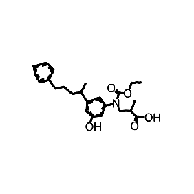 CCOC(=O)N(CC(C)C(=O)O)c1cc(O)cc(C(C)CCCc2ccccc2)c1